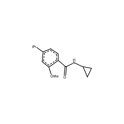 COc1cc(C(C)C)ccc1C(=O)NC1CC1